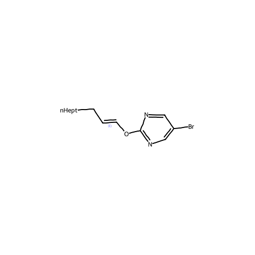 CCCCCCCC/C=C/Oc1ncc(Br)cn1